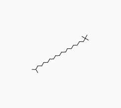 CC(C)CCCCCCCCCCCCCCCCC(C)(C)C